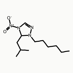 CCCCCCN1N=CN([N+](=O)[O-])C1CC(C)C